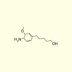 COC1C=C(CCCCCO)C=CC1N